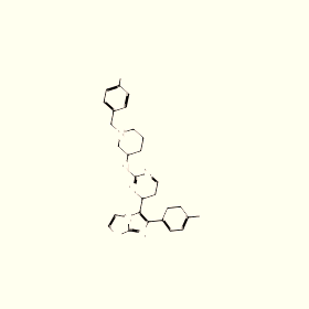 FC1=CC=C(c2nc3sccn3c2C2CC=NC(NC3CCCN(Cc4ccc(F)cc4)C3)=N2)CC1